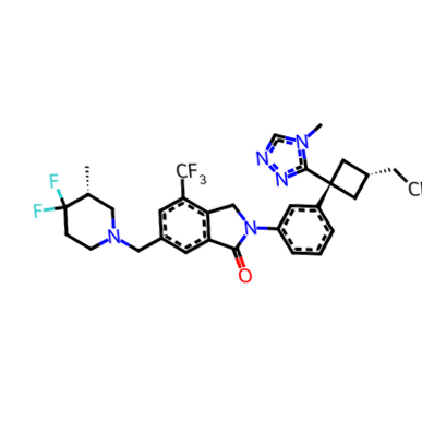 C[C@@H]1CN(Cc2cc3c(c(C(F)(F)F)c2)CN(c2cccc([C@]4(c5nncn5C)C[C@@H](CC#N)C4)c2)C3=O)CCC1(F)F